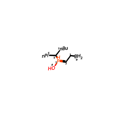 BC/C=[PH](/O)C(CCC)CCCC